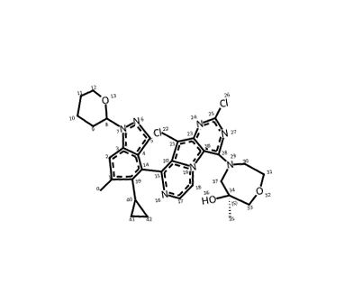 Cc1cc2c(cnn2C2CCCCO2)c(-c2nccn3c2c(Cl)c2nc(Cl)nc(N4CCOC[C@@](C)(O)C4)c23)c1C1CC1